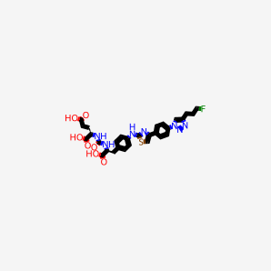 O=C(O)CC[C@H](NC(=O)N[C@@H](Cc1ccc(Nc2nc(-c3ccc(-n4cc(CCCF)nn4)cc3)cs2)cc1)C(=O)O)C(=O)O